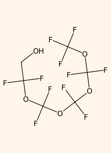 OCC(F)(F)OC(F)(F)OC(F)(F)OC(F)(F)OC(F)(F)F